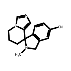 CN1Cc2cc(C#N)ccc2C12CCCn1cncc12